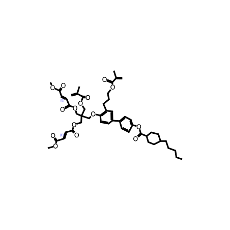 C=C(C)C(=O)OCCCc1cc(-c2ccc(OC(=O)C3CCC(CCCCC)CC3)cc2)ccc1OCC(COC(=O)/C=C/C(=O)OC)(COC(=O)/C=C/C(=O)OC)COC(=O)C(=C)C